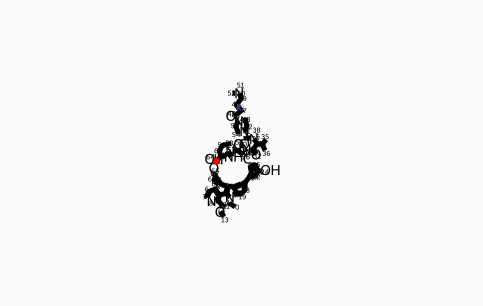 CCn1c(-c2cccnc2[C@H](C)OC)c2c3cc(ccc31)-c1cc(O)cc(c1)C[C@H](NC(=O)C(C(C)C)N(C)C(=O)N1CCN(C(=O)/C=C/CN(C)C)CC1)C(=O)N1CCC[C@H](N1)C(=O)OCC(C)(C)C2